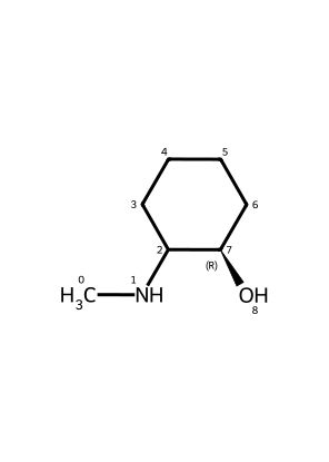 CNC1CCCC[C@H]1O